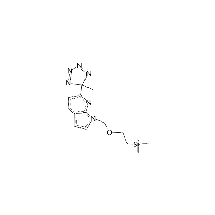 CC1(c2ccc3ccn(COCC[Si](C)(C)C)c3n2)N=NN=N1